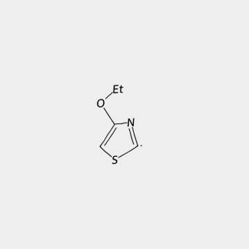 CCOc1cs[c]n1